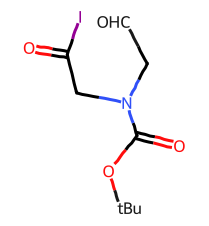 CC(C)(C)OC(=O)N(CC=O)CC(=O)I